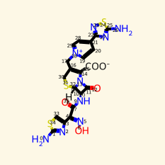 Nc1nc(C(=NO)C(=O)N[C@@H]2C(=O)N3C(C(=O)[O-])=C(C[n+]4ccc(-c5nsc(N)n5)cc4)CS[C@@H]23)cs1